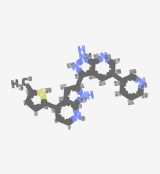 Cc1ccc(-c2ccnc3[nH]c(-c4n[nH]c5ncc(-c6cccnc6)cc45)cc23)s1